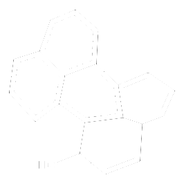 OC1C=CC2C=CC=c3c2c1c1cccc2cccc3c21